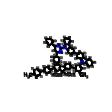 CCCCCCCCC1(CCCCCCCC)c2cc(-c3ccc(-c4ccc(C)cc4)cc3)ccc2-c2ccc(-c3cc(C)cc(-n4c5ccccc5c5ccc(-c6ccc7c(c6)c6ccccc6n7-c6nc(-c7ccccc7)cc(-c7ccccc7)n6)cc54)c3)cc21